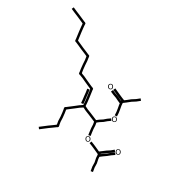 CCCCC/C=C(\CCC)C(OC(C)=O)OC(C)=O